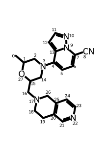 CC1CN(c2ccc(C#N)n3nccc23)CC(CN2CCc3cnccc3C2)O1